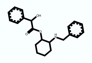 O=C(OC1CCCCC1NCc1ccccc1)C(O)c1ccccc1